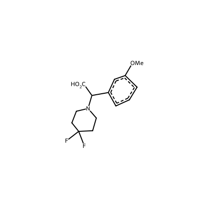 COc1cccc(C(C(=O)O)N2CCC(F)(F)CC2)c1